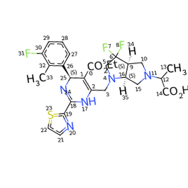 CCOC(=O)C1=C(CN2CC(F)(F)[C@H]3CN(C(C)C(=O)O)C[C@H]32)NC(c2nccs2)=N[C@H]1c1cccc(F)c1C